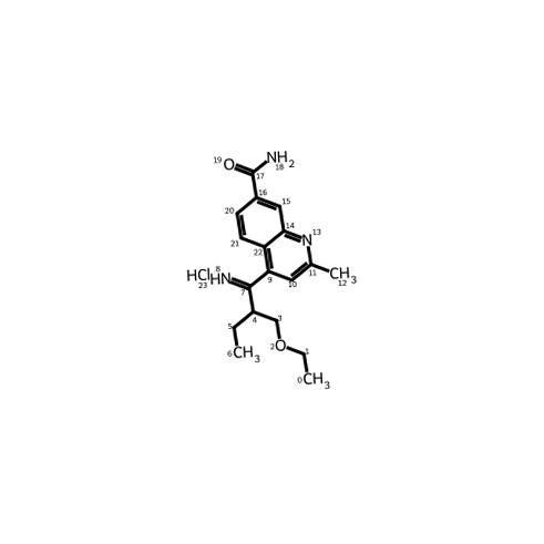 CCOCC(CC)C(=N)c1cc(C)nc2cc(C(N)=O)ccc12.Cl